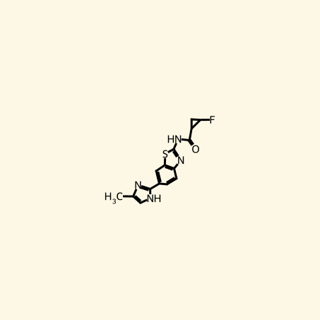 Cc1c[nH]c(-c2ccc3nc(NC(=O)C4CC4F)sc3c2)n1